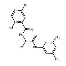 CC(C)C(NC(=O)c1cc(Cl)ccc1O)C(=O)Nc1cc(C(F)(F)F)cc(C(F)(F)F)c1